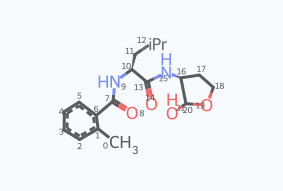 Cc1ccccc1C(=O)N[C@@H](CC(C)C)C(=O)N[C@H]1CCOC1O